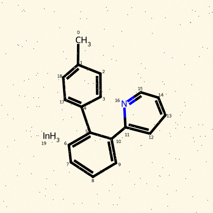 Cc1ccc(-c2ccccc2-c2ccccn2)cc1.[InH3]